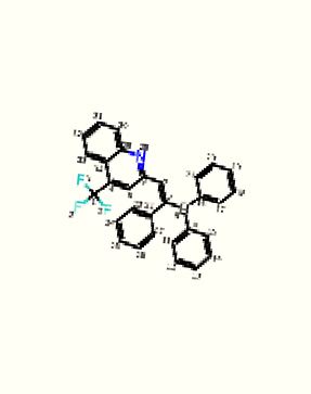 FC(F)(F)c1cc(C=C(B(c2ccccc2)c2ccccc2)c2ccccc2)nc2ccccc12